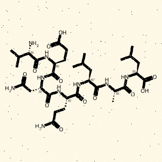 CC(C)C[C@H](NC(=O)[C@H](C)NC(=O)[C@H](CC(C)C)NC(=O)[C@H](CCC(N)=O)NC(=O)[C@H](CC(N)=O)NC(=O)[C@H](CCC(=O)O)NC(=O)[C@@H](N)C(C)C)C(=O)O